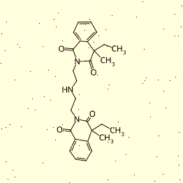 CCC1(C)C(=O)N(CCNCCN2C(=O)c3ccccc3C(C)(CC)C2=O)C(=O)c2ccccc21